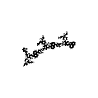 C=CC(=O)N1CCN(c2nc(OCC3CCCN3C)nc3c2COC(c2cccc4c(C5CC(COc6nc7c(c(N8CCN(C(=O)C=C)C(CC#N)C8)n6)COC(c6cccc8c(C9CC(COc%10nc%11c(c(N%12CCN(C(=O)C=C)C(CC#N)C%12)n%10)CN(C)C(c%10cccc%12ccccc%10%12)C%11)N(C)C9)ccc(Cl)c68)C7)N(C)C5)cccc24)C3)CC1CC#N